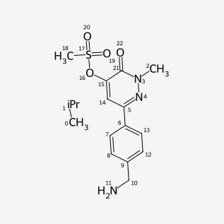 CC(C)C.Cn1nc(-c2ccc(CN)cc2)cc(OS(C)(=O)=O)c1=O